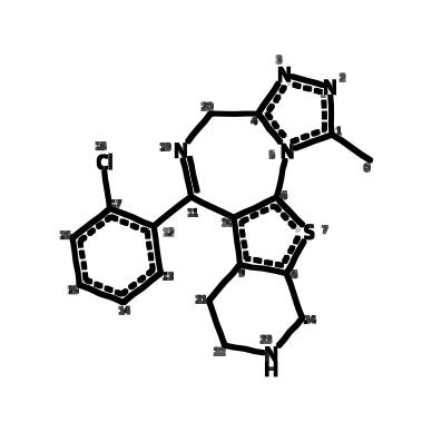 Cc1nnc2n1-c1sc3c(c1C(c1ccccc1Cl)=NC2)CCNC3